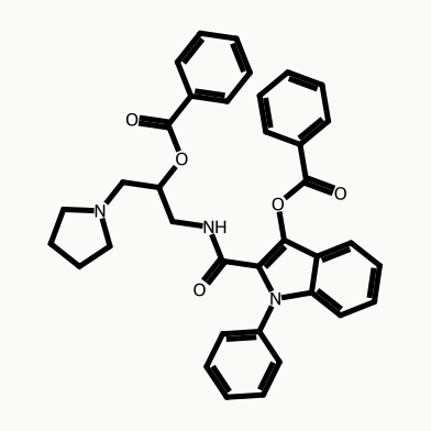 O=C(Oc1c(C(=O)NCC(CN2CCCC2)OC(=O)c2ccccc2)n(-c2ccccc2)c2ccccc12)c1ccccc1